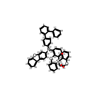 c1ccc(-c2ccccc2-c2ccc(N(c3ccc4c(c3)oc3ccccc34)c3cccc4c3Oc3ccccc3[Si]43c4ccccc4Oc4ccccc43)cc2)cc1